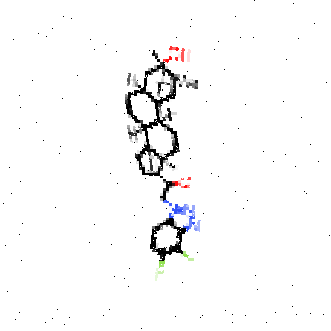 COC[C@]12CC[C@@](C)(O)C[C@H]1CC[C@H]1[C@@H]3CC[C@H](C(=O)Cn4nnc5c(F)c(F)ccc54)[C@@]3(C)CC[C@@H]12